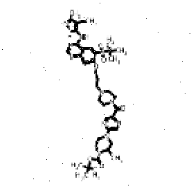 Cc1n[nH]c(Nc2ncnc3cc(OCCCN4CCN(C(=O)c5cnc(N6CCN(C(=O)OC(C)(C)C)C(C)C6)cn5)CC4)c(S(=O)(=O)C(C)(C)C)cc23)c1C